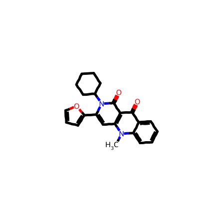 Cn1c2ccccc2c(=O)c2c(=O)n(C3CCCCC3)c(-c3ccco3)cc21